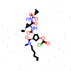 C=CCCCCN(C)C(=O)[C@@H]1C[C@H](OC(=O)Cl)C[C@H]1C(=O)N[C@]1(C(=O)NS(=O)(=O)C2CC2)C[C@H]1C=C